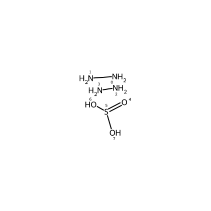 NN.NN.O=S(O)O